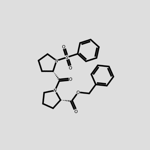 O=C(OCc1ccccc1)[C@@H]1CCCN1C(=O)[C@@H]1CCCN1S(=O)(=O)c1ccccc1